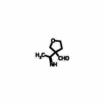 CC(=N)C1(C=O)CCOC1